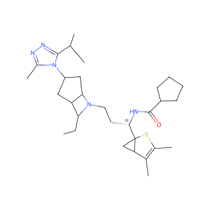 CCC1C2CC(n3c(C)nnc3C(C)C)CC2N1CC[C@H](NC(=O)C1CCCC1)C12CC1C(C)=C(C)S2